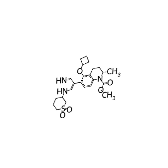 COC(=O)N1c2ccc(/C(C=N)=C/NC3CCCS(=O)(=O)C3)c(OC3CCC3)c2CC[C@@H]1C